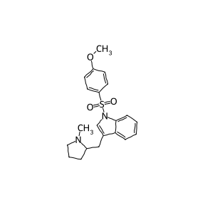 COc1ccc(S(=O)(=O)n2cc(CC3CCCN3C)c3ccccc32)cc1